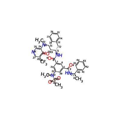 C[C@@H](NC(=O)c1cc(C(=O)N[C@@H](Cc2ccccc2)[C@H](O)CN(C)c2cncc(C(F)(F)F)c2)cc(N(C)S(C)(=O)=O)c1)c1ccccc1